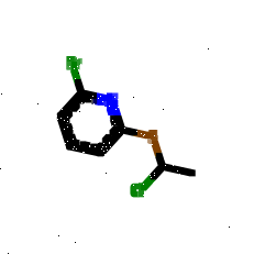 CC(Cl)Sc1cccc(Br)n1